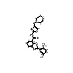 O=C(Nc1nc(CN2CCOCC2)cs1)c1cccc2nc(-c3cc(F)ccc3C(F)(F)F)oc12